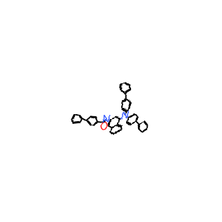 C1=CCC2C(=C1)C(N(c1ccc(-c3ccccc3)cc1)c1ccc(-c3ccccc3)cc1)Cc1nc(-c3ccc(-c4ccccc4)cc3)oc12